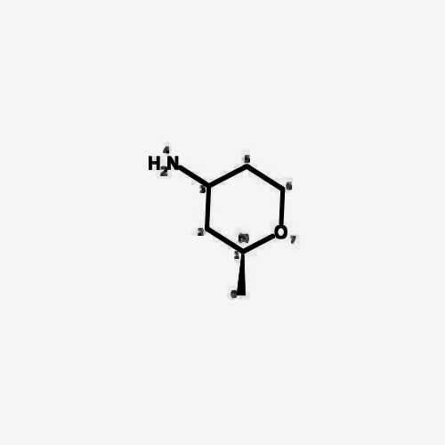 C[C@H]1CC(N)CCO1